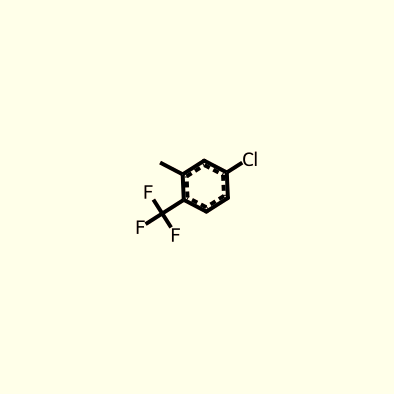 Cc1cc(Cl)ccc1C(F)(F)F